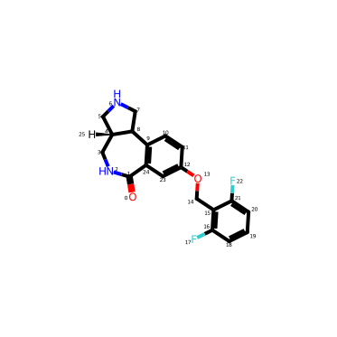 O=C1NC[C@@H]2CNCC2c2ccc(OCc3c(F)cccc3F)cc21